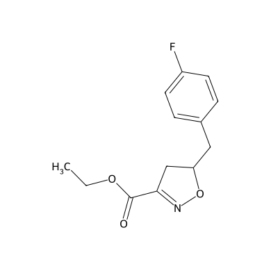 CCOC(=O)C1=NOC(Cc2ccc(F)cc2)C1